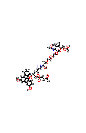 COc1ccc(C(OCC(CCCCNC(=O)COCCOCCOC2OC(COC(C)=O)C(C)C(C)C2NC(C)=O)COC(=O)CCC(C)=O)(c2ccccc2)c2ccc(OC)cc2)cc1